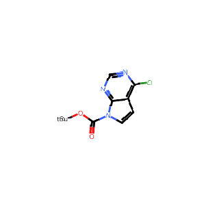 CC(C)(C)OC(=O)n1ccc2c(Cl)ncnc21